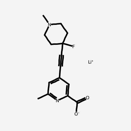 Cc1cc(C#CC2(F)CCN(C)CC2)cc(C(=O)[O-])n1.[Li+]